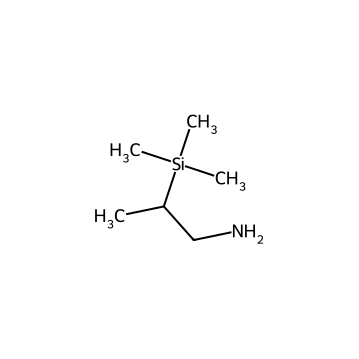 CC(CN)[Si](C)(C)C